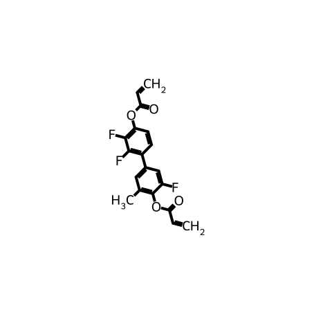 C=CC(=O)Oc1ccc(-c2cc(C)c(OC(=O)C=C)c(F)c2)c(F)c1F